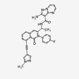 CC(NC(=O)c1c(N)nn2cccnc12)c1cc2cccc(C#Cc3cnn(C)c3)c2c(=O)n1-c1ccc(F)cc1